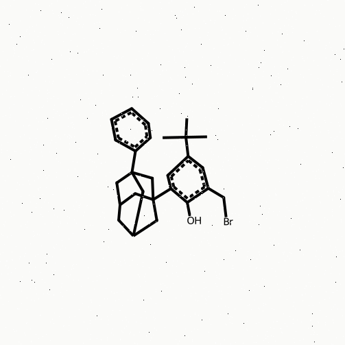 CC(C)(C)c1cc(CBr)c(O)c(C23CC4CC(CC(c5ccccc5)(C4)C2)C3)c1